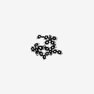 O=C1C(c2ccc(C#Cc3ccccc3)cc2)=C(c2ccccc2)C(c2ccc(Oc3ccc(C4=C(c5ccc(-c6ccccc6)cc5)C(=O)C(c5ccccc5)=C4c4ccc(Oc5ccc(C6=C(c7ccc(-c8ccccc8)cc7)C(=O)C(c7ccccc7)=C6c6ccccc6)cc5)cc4)cc3)cc2)=C1c1ccccc1